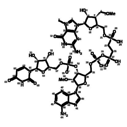 COC[C@H]1[C@@H](O)[C@H](n2c[n+](C)c3c(=O)[nH]c(N)nc32)O[C@@H]1COP(=O)(O)CCP(=O)(O)OP(=O)(O)OC[C@H]1O[C@@H](n2cnc3c(N)ncnc32)[C@H](OC)[C@@H]1OP(=O)([O-])OC[C@H]1O[C@@H](n2ccc(=O)[nH]c2=O)[C@H](O)[C@@H]1O